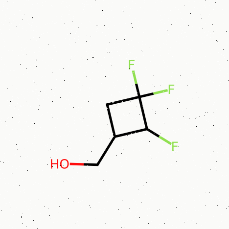 OCC1CC(F)(F)C1F